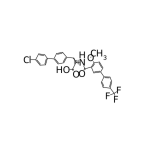 COc1ccc(-c2ccc(C(F)(F)F)cc2)cc1C(=O)N[C@H](Cc1ccc(-c2ccc(Cl)cc2)cc1)C(=O)O